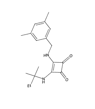 CCC(C)(C)Nc1c(NCc2cc(C)cc(C)c2)c(=O)c1=O